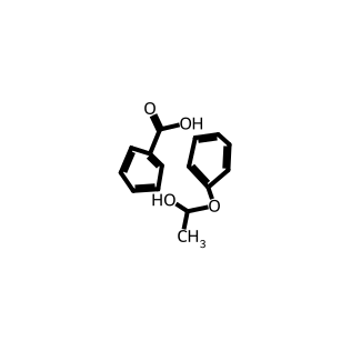 CC(O)Oc1ccccc1.O=C(O)c1ccccc1